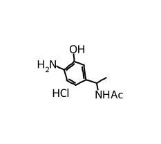 CC(=O)NC(C)c1ccc(N)c(O)c1.Cl